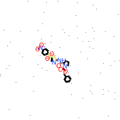 O=C(Nc1ncc(S(=O)(=O)c2ccc([N+](=O)[O-])cc2)s1)[C@@H]1CCCN1C(=O)OCc1ccccc1